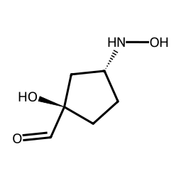 O=C[C@@]1(O)CC[C@@H](NO)C1